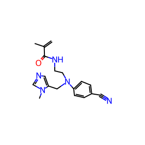 C=C(C)C(=O)NCCN(Cc1cncn1C)c1ccc(C#N)cc1